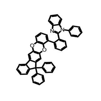 c1ccc(-n2c(-c3ccccc3-c3cccc4c3Oc3cc5c(cc3O4)-c3ccccc3C5(c3ccccc3)c3ccccc3)nc3ccccc32)cc1